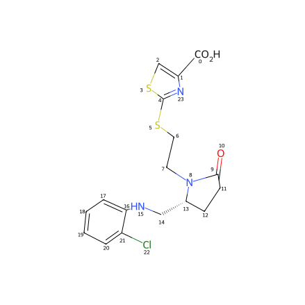 O=C(O)c1csc(SCCN2C(=O)CC[C@@H]2CNc2ccccc2Cl)n1